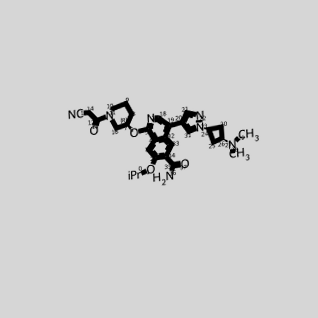 CC(C)Oc1cc2c(O[C@@H]3CCCN(C(=O)CC#N)C3)ncc(-c3cnn([C@H]4C[C@@H](N(C)C)C4)c3)c2cc1C(N)=O